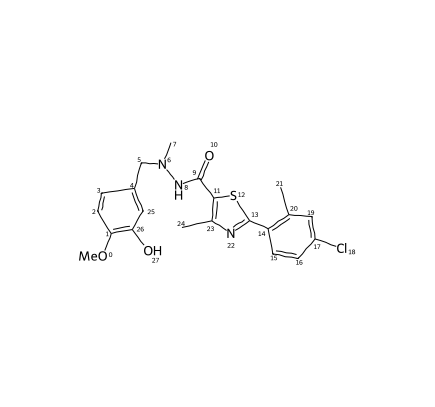 COc1ccc(CN(C)NC(=O)c2sc(-c3ccc(Cl)cc3C)nc2C)cc1O